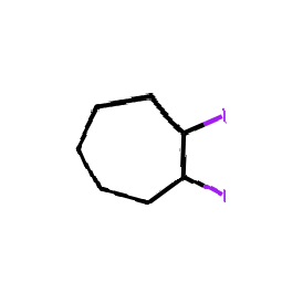 IC1CCCCCC1I